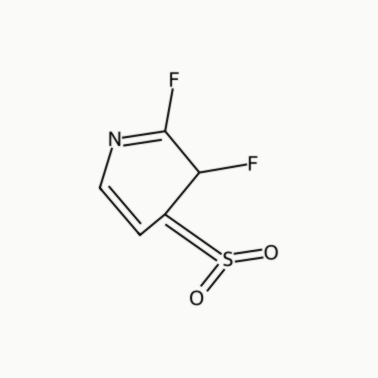 O=S(=O)=C1C=CN=C(F)C1F